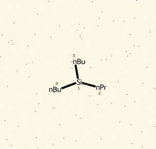 CCCC[Si](CCC)CCCC